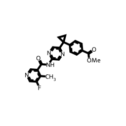 COC(=O)c1ccc(C2(c3cnc(NC(=O)c4cncc(F)c4C)cn3)CC2)cc1